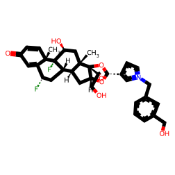 C[C@]12C=CC(=O)C=C1[C@@H](F)C[C@H]1[C@@H]3C[C@H]4O[C@@H](c5ccn(Cc6cccc(CO)c6)c5)O[C@@]4(C(=O)CO)[C@@]3(C)C[C@H](O)[C@@]12F